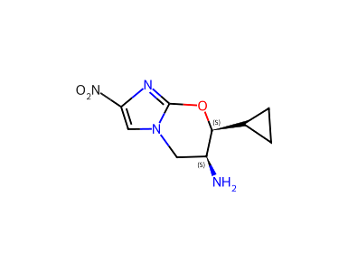 N[C@H]1Cn2cc([N+](=O)[O-])nc2O[C@H]1C1CC1